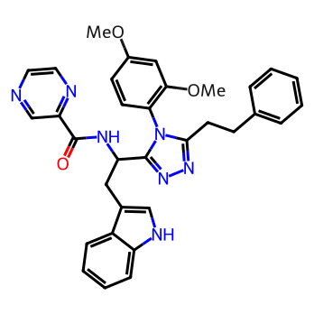 COc1ccc(-n2c(CCc3ccccc3)nnc2C(Cc2c[nH]c3ccccc23)NC(=O)c2cnccn2)c(OC)c1